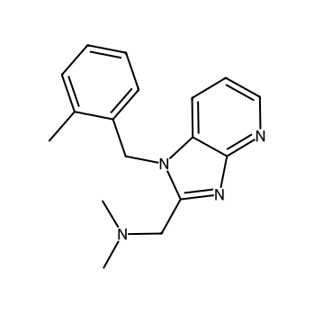 Cc1ccccc1Cn1c(CN(C)C)nc2ncccc21